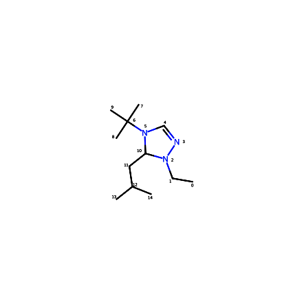 CCN1N=CN(C(C)(C)C)C1CC(C)C